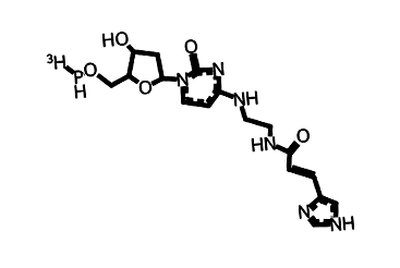 [3H]POCC1OC(n2ccc(NCCNC(=O)/C=C/c3c[nH]cn3)nc2=O)CC1O